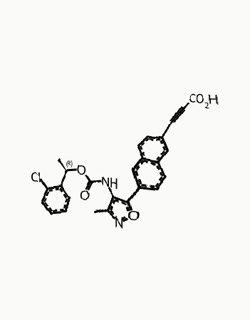 Cc1noc(-c2ccc3cc(C#CC(=O)O)ccc3c2)c1NC(=O)O[C@H](C)c1ccccc1Cl